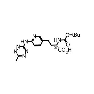 Cc1nnc(Nc2ccc(CC[C@H](NC(=O)OC(C)(C)C)C(=O)O)cn2)nn1